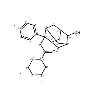 O=C(CC1(c2ccccc2)C2CC3CC1CC(C2)C3O)N1CCCCC1